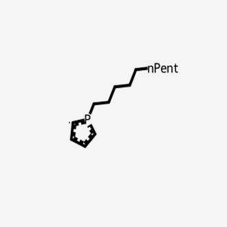 CCCCCCCCCCp1[c]ccc1